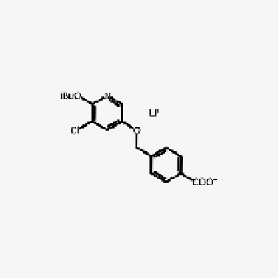 CC(C)COc1ncc(OCc2ccc(C(=O)[O-])cc2)cc1Cl.[Li+]